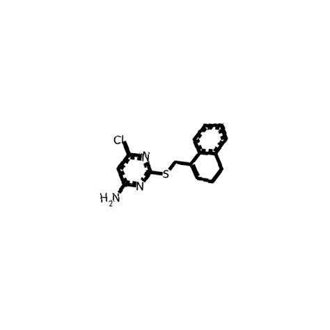 Nc1cc(Cl)nc(SCC2=CCCc3ccccc32)n1